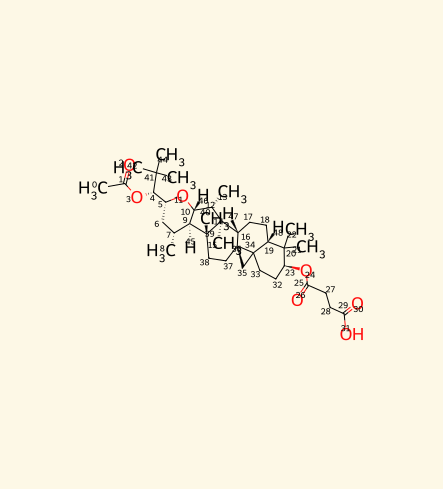 CC(=O)O[C@@H]([C@H]1C[C@@H](C)[C@H]2[C@H](O1)[C@H](C)[C@@]1(C)[C@@H]3CC[C@@H]4C(C)(C)[C@@H](OC(=O)CCC(=O)O)CCC45C[C@@]35CC[C@]21C)C(C)(C)C